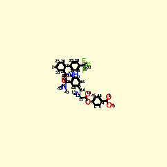 COC(=O)c1ccc(OC(=O)CN(C)Cc2ccc(NC(=O)c3ccccc3-c3ccc(C(F)(F)F)cc3)c(C(=O)N(C)C)c2)cc1